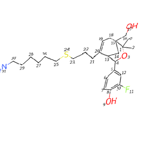 CC1(C)OC(c2ccc(O)c(F)c2)C2CC1(CO)CC=C2CCCSCCCCCCN